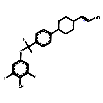 CCC/C=C/C1CCC(c2ccc(C(F)(F)Oc3cc(F)c(C#N)c(F)c3)cc2)CC1